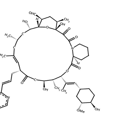 CO[C@@H]1C[C@H](/C=C(\C)[C@H]2OC(=O)[C@@H]3CCCCN3C(=O)C(=O)[C@]3(O)O[C@H]([C@@H](O)C[C@@H](C)C/C(C)=C/[C@@H](C/C=C/c4ccccn4)C(=O)C[C@H](O)[C@H]2C)[C@@H](C=O)C[C@H]3C)CC[C@H]1O